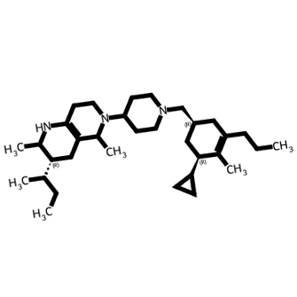 CCCC1=C(C)[C@@H](C2CC2)C[C@@H](CN2CCC(N3CCC4=C(C[C@H](C(C)CC)C(C)N4)C3C)CC2)C1